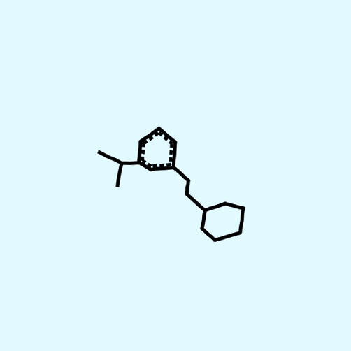 CC(C)c1cccc(CCC2CCCCC2)c1